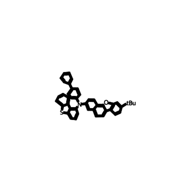 CC(C)(C)c1ccc2c(c1)oc1c3ccc(N(c4ccc(-c5ccccc5)cc4)c4cccc5sc6ccccc6c45)cc3ccc21